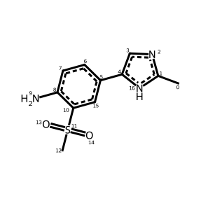 Cc1ncc(-c2ccc(N)c(S(C)(=O)=O)c2)[nH]1